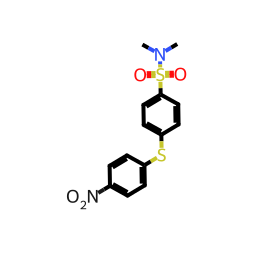 CN(C)S(=O)(=O)c1ccc(Sc2ccc([N+](=O)[O-])cc2)cc1